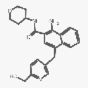 Nc1c(C(=O)NC2CCOCC2)cc(Cc2ccc(CO)nc2)c2ccccc12